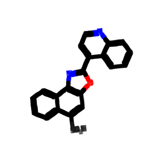 O=S(=O)(O)c1cc2oc(-c3ccnc4ccccc34)nc2c2ccccc12